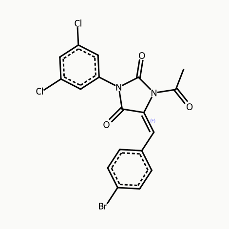 CC(=O)N1C(=O)N(c2cc(Cl)cc(Cl)c2)C(=O)/C1=C\c1ccc(Br)cc1